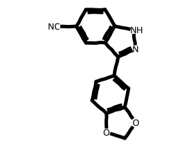 N#Cc1ccc2[nH]nc(-c3ccc4c(c3)OCO4)c2c1